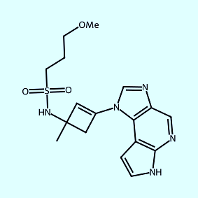 COCCCS(=O)(=O)NC1(C)C=C(n2cnc3cnc4[nH]ccc4c32)C1